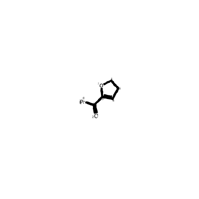 CC(C)C(=O)C1=CCCO1